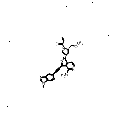 C=CC(=O)N1C[C@@H](n2nc(C#Cc3ccc4c(c3)ncn4C)c3c(N)nccc32)C[C@@H]1COC(F)(F)F